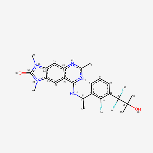 Cc1nc(N[C@H](C)c2cccc(C(F)(F)C(C)(C)O)c2F)c2cc3c(cc2n1)n(C)c(=O)n3C